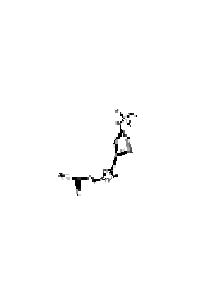 CCS(=O)(=O)Nc1cc(-c2noc(CCC(=O)O)n2)cs1